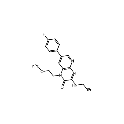 CCCOCCn1c(=O)c(NCC(C)C)nc2ncc(-c3ccc(F)cc3)cc21